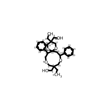 CCC1(CO)COCC(c2ccccc2)C2(CC(c3ccccc3)OC1)OCC(CC)(CO)CO2